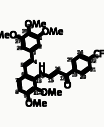 COc1cc(C=Cc2ccc(OC)c(OC)c2NC=CC(=O)c2ccc(C(F)(F)F)cc2)cc(OC)c1OC